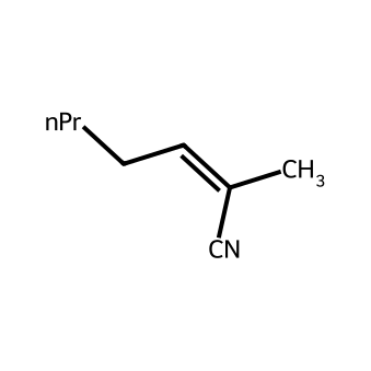 CCCC/C=C(/C)C#N